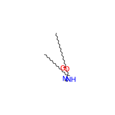 CCCCCCCCCCCCCCCCCC(=O)OCCC(C)(CCCCCCCCCCCCCCC)C1=NCCN1